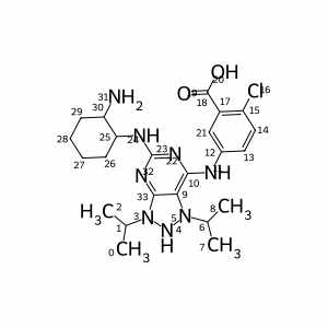 CC(C)N1NN(C(C)C)c2c(Nc3ccc(Cl)c(C(=O)O)c3)nc(NC3CCCCC3N)nc21